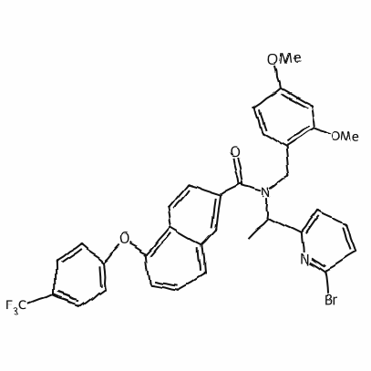 COc1ccc(CN(C(=O)c2ccc3c(Oc4ccc(C(F)(F)F)cc4)cccc3c2)C(C)c2cccc(Br)n2)c(OC)c1